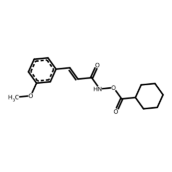 COc1cccc(C=CC(=O)NOC(=O)C2CCCCC2)c1